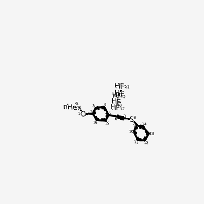 CCCCCCOc1ccc(C#CSc2ccccc2)cc1.F.F.F.F.F